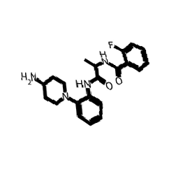 CC(NC(=O)c1ccccc1F)C(=O)Nc1ccccc1N1CCC(N)CC1